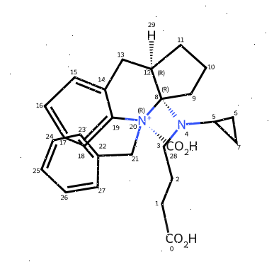 O=C(O)CCCN(C1CC1)[C@@]12CCC[C@@H]1Cc1ccccc1[N@@+]2(Cc1ccccc1)C(=O)O